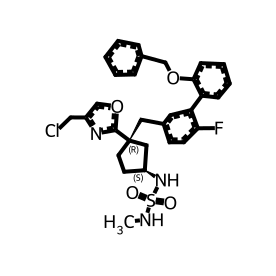 CNS(=O)(=O)N[C@H]1CC[C@](Cc2ccc(F)c(-c3ccccc3OCc3ccccc3)c2)(c2nc(CCl)co2)C1